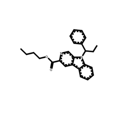 CCCCOC(=O)c1cc2c3ccccc3n(C(CC)c3ccccc3)c2cn1